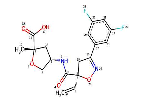 C=C[C@]1(C(=O)N[C@@H]2CO[C@](C)(C(=O)O)C2)CC(c2cc(F)cc(F)c2)=NO1